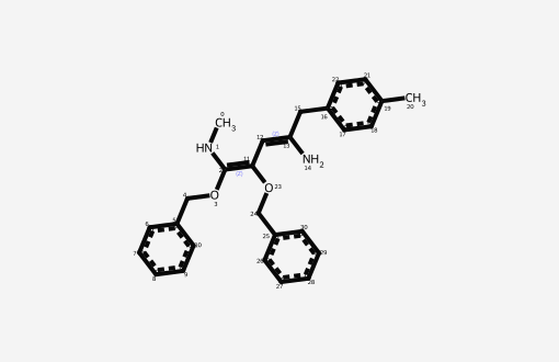 CN/C(OCc1ccccc1)=C(\C=C(/N)Cc1ccc(C)cc1)OCc1ccccc1